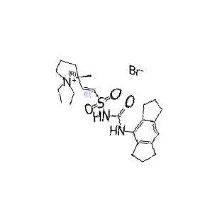 CC[N+]1(CC)CCC[C@]1(C)/C=C/S(=O)(=O)NC(=O)Nc1c2c(cc3c1CCC3)CCC2.[Br-]